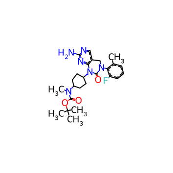 Cc1cccc(F)c1N1Cc2cnc(N)nc2N(C2CCC(N(C)C(=O)OC(C)(C)C)CC2)C1=O